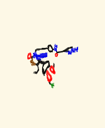 CCC1SC(=O)N(Cc2ccc(NC(=O)c3cc[nH]n3)cc2)N=C1c1ccc(OCF)c(OC)c1